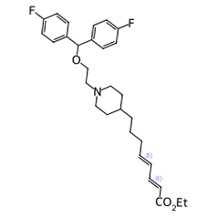 CCOC(=O)/C=C/C=C/CCCC1CCN(CCOC(c2ccc(F)cc2)c2ccc(F)cc2)CC1